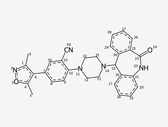 Cc1noc(C)c1-c1ccc(N2CCN(C3c4ccccc4NC(=O)c4ccccc43)CC2)c(C#N)c1